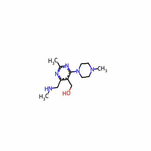 CNCc1nc(C)nc(N2CCN(C)CC2)c1CO